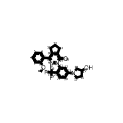 COc1ccccc1-c1nn(-c2cc(N3CCC(O)C3)ccc2C(F)(F)F)c(=O)c2c1CCC2